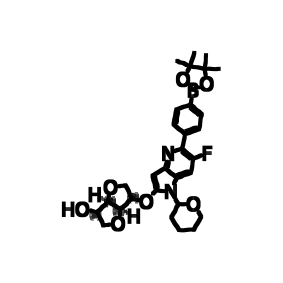 CC1(C)OB(c2ccc(-c3nc4cc(O[C@@H]5CO[C@H]6[C@@H]5OC[C@H]6O)n(C5CCCCO5)c4cc3F)cc2)OC1(C)C